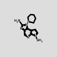 Nc1nc2cnc3c(ccn3[SiH3])c2n1N1CCCCC1